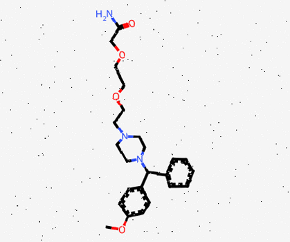 COc1ccc(C(c2ccccc2)N2CCN(CCOCCOCC(N)=O)CC2)cc1